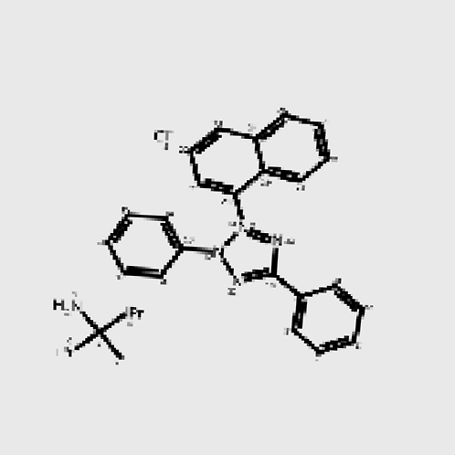 CC(C)C(C)(N)C(C)C.[Cl-].c1ccc(-c2nn(-c3ccccc3)[n+](-c3cccc4ccccc34)n2)cc1